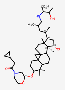 COC(CNC(C(=O)O)C(C)O)C[C@@H](C)[C@H]1C[C@H](O)[C@@]2(C)C3CCC4C(C)(C)C(O[C@H]5CN(C(=O)CC6CC6)CCO5)CCC45CC35CCC12C